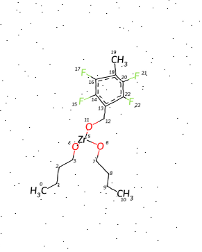 CCCC[O][Zr]([O]CCCC)[O]Cc1c(F)c(F)c(C)c(F)c1F